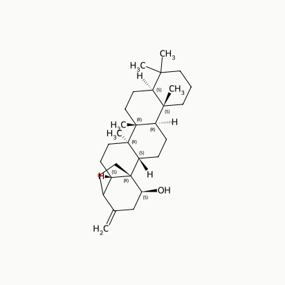 C=C1C[C@H](O)[C@]23CCC1[C@@H]2CC[C@]1(C)[C@@H]3CC[C@@H]2[C@@]3(C)CCCC(C)(C)[C@@H]3CC[C@]21C